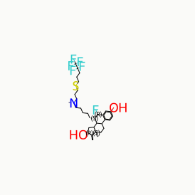 C=C1[C@H](O)CC2C3C(CC[C@]12C)c1ccc(O)cc1[C@H](F)[C@H]3CCCCCN(C)CCCSCCCC(F)(F)C(F)(F)F